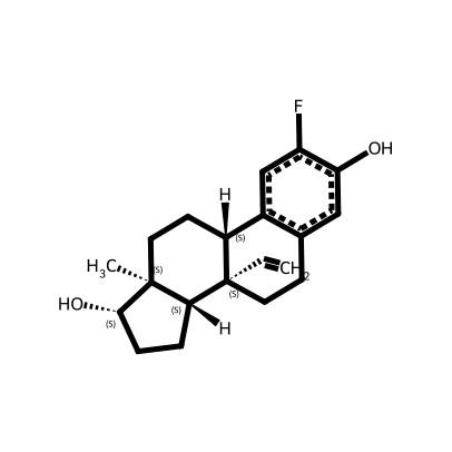 C=C[C@@]12CCc3cc(O)c(F)cc3[C@H]1CC[C@@]1(C)[C@H]2CC[C@@H]1O